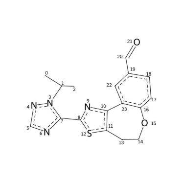 CC(C)n1ncnc1-c1nc2c(s1)CCOc1ccc(C=O)cc1-2